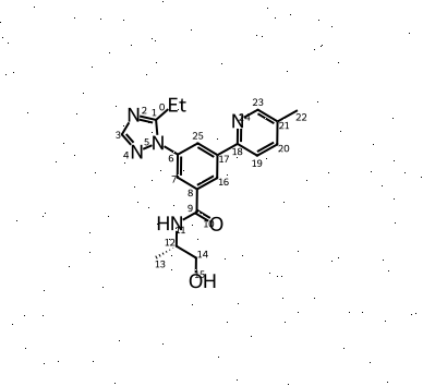 CCc1ncnn1-c1cc(C(=O)N[C@@H](C)CO)cc(-c2ccc(C)cn2)c1